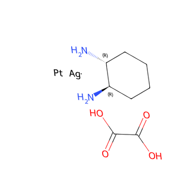 N[C@@H]1CCCC[C@H]1N.O=C(O)C(=O)O.[Ag].[Pt]